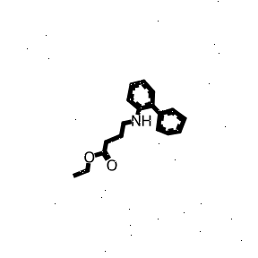 CCOC(=O)CCCNc1ccccc1-c1ccccc1